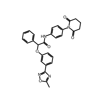 Cc1nc(-c2cccc(OC(C(=O)Nc3ccc(N4C(=O)CCCC4=O)cc3)c3ccccc3)c2)no1